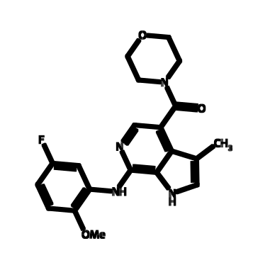 COc1ccc(F)cc1Nc1ncc(C(=O)N2CCOCC2)c2c(C)c[nH]c12